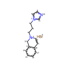 Br.C1=CN(CCCn2ccnc2)Cc2ccccc21